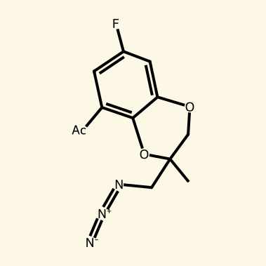 CC(=O)c1cc(F)cc2c1OC(C)(CN=[N+]=[N-])CO2